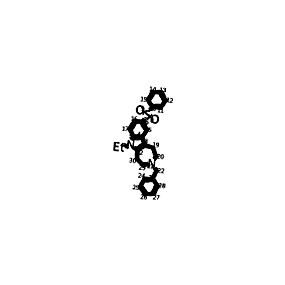 CCn1c2c(c3cc(S(=O)(=O)c4ccccc4)ccc31)CCN(Cc1ccccc1)CC2